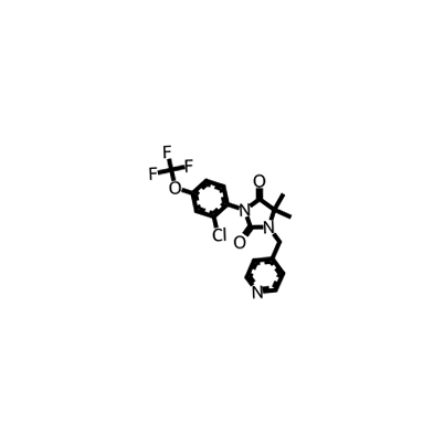 CC1(C)C(=O)N(c2ccc(OC(F)(F)F)cc2Cl)C(=O)N1Cc1ccncc1